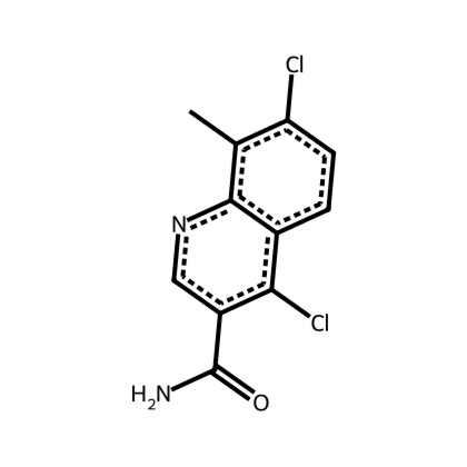 Cc1c(Cl)ccc2c(Cl)c(C(N)=O)cnc12